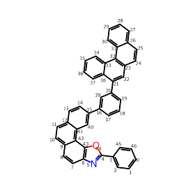 c1ccc(-c2nc3ccc4ccc5ccc(-c6cccc(-c7cc8ccc9ccccc9c8c8ccccc78)c6)cc5c4c3o2)cc1